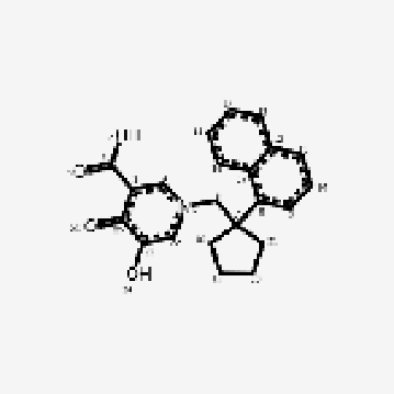 O=C(O)c1cn(CC2(c3cccc4ccccc34)CCCC2)cc(O)c1=O